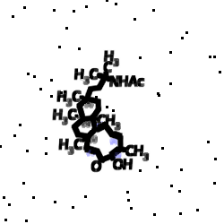 CC(=O)NC(C)(C)CC[C@]1(C)CC[C@]2(C)/C3=C/C=C/C(C)=C(/O)C(=O)/C=C/[C@]3(C)CC[C@@]2(C)C1